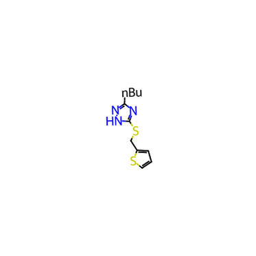 CCCCc1n[nH]c(SCc2cccs2)n1